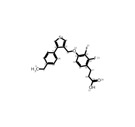 CCc1ccc(-c2cscc2COc2ccc(CCC(=O)O)c(F)c2F)cc1